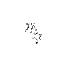 NC(=O)C1([CH]c2cncc(Br)c2)CC1